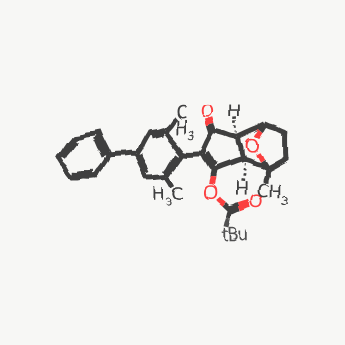 Cc1cc(-c2ccccc2)cc(C)c1C1=C(OC(=O)C(C)(C)C)[C@H]2[C@@H](C1=O)C1CCC2(C)O1